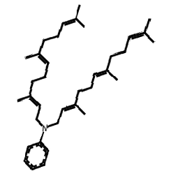 CC(C)=CCC/C(C)=C/CC/C(C)=C/CN(C/C=C(\C)CC/C=C(\C)CCC=C(C)C)c1ccccc1